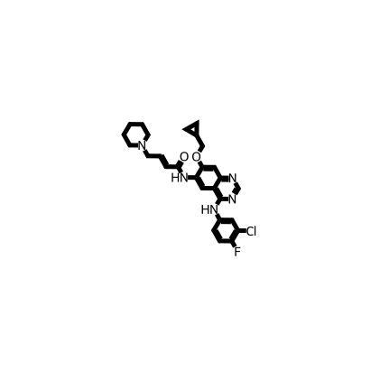 O=C(C=CCN1CCCCC1)Nc1cc2c(Nc3ccc(F)c(Cl)c3)ncnc2cc1OCC1CC1